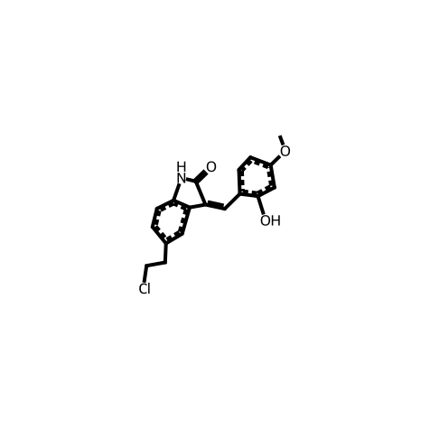 COc1ccc(C=C2C(=O)Nc3ccc(CCCl)cc32)c(O)c1